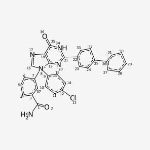 NC(=O)c1cccc([N+]2(c3ccc(Cl)cc3)C=Nc3c2nc(-c2ccc(-c4ccccc4)cc2)[nH]c3=O)c1